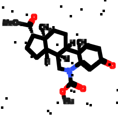 COC(=O)[C@H]1CC[C@H]2[C@@H]3CN(C(=O)OC(C)(C)C)C4=CC(=O)C=C[C@]4(C)[C@H]3CC[C@]12C